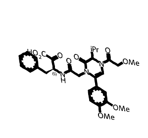 COCC(=O)N1C=C(c2ccc(OC)c(OC)c2)N(CC(=O)N[C@@H](Cc2ccccc2)C(=O)C(=O)O)C(=O)C1C(C)C